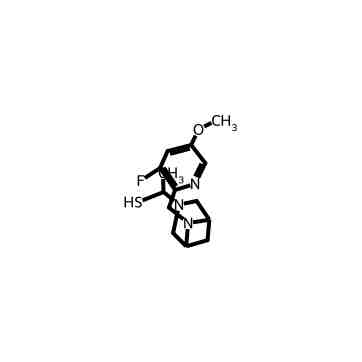 COc1cnc(CN2C3CC2CN(C(C)S)C3)c(F)c1